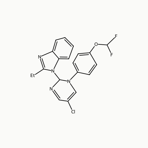 CCc1nc2ccccc2n1C1N=CC(Cl)=CN1c1ccc(OC(F)F)cc1